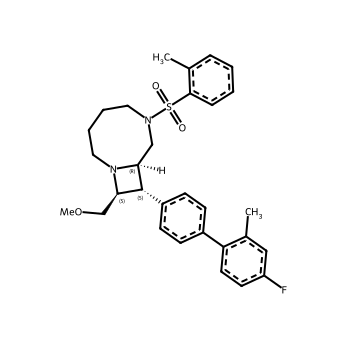 COC[C@@H]1[C@@H](c2ccc(-c3ccc(F)cc3C)cc2)[C@@H]2CN(S(=O)(=O)c3ccccc3C)CCCCN12